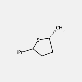 CC(C)C1CC[C@@H](C)S1